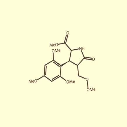 COOCC1C(=O)NC(C(=O)OC)[C@@H]1c1c(OC)cc(OC)cc1OC